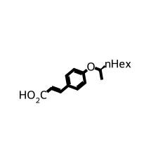 CCCCCC[C@@H](C)Oc1ccc(C=CC(=O)O)cc1